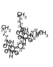 CCCCCCNC(=O)n1cc(-c2ccccc2)c(=O)[nH]c1=O.CCCCCCNC(=O)n1cc(N2CCN(C)CC2)c(=O)[nH]c1=O